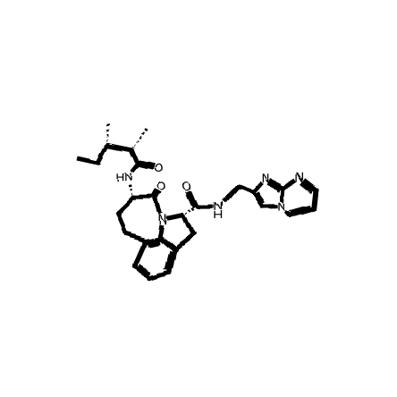 CC[C@H](C)[C@H](C)C(=O)N[C@H]1CCc2cccc3c2N(C1=O)[C@H](C(=O)NCc1cn2cccnc2n1)C3